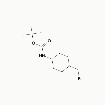 CC(C)(C)OC(=O)NC1CCC(CBr)CC1